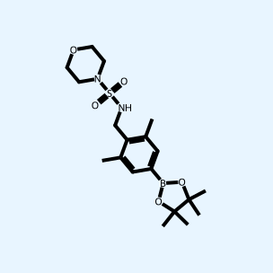 Cc1cc(B2OC(C)(C)C(C)(C)O2)cc(C)c1CNS(=O)(=O)N1CCOCC1